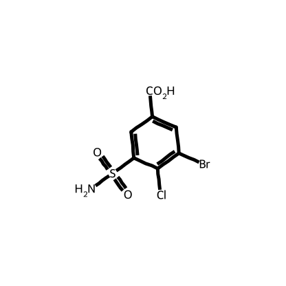 NS(=O)(=O)c1cc(C(=O)O)cc(Br)c1Cl